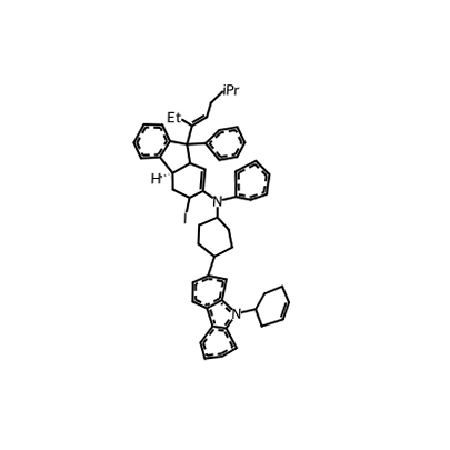 CC/C(=C\CC(C)C)C1(c2ccccc2)c2ccccc2[C@@H]2CC(I)C(N(c3ccccc3)C3CCC(c4ccc5c6ccccc6n(C6CC=CCC6)c5c4)CC3)=CC21